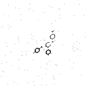 CC(=O)[C@H]1CC[C@H](C(=O)N2CC[C@@H](N(C)C(=O)c3ccc(Cl)cc3)[C@H](c3ccc(Cl)c(Cl)c3)C2)CC1